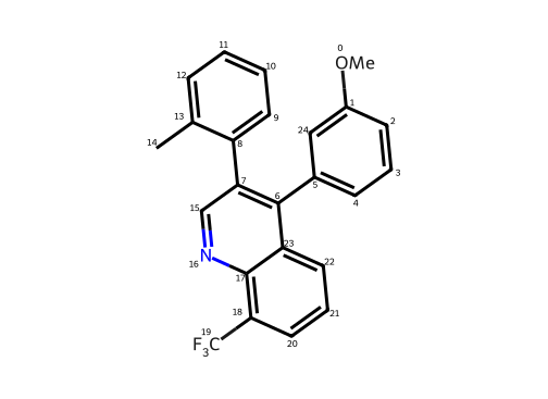 COc1cccc(-c2c(-c3ccccc3C)cnc3c(C(F)(F)F)cccc23)c1